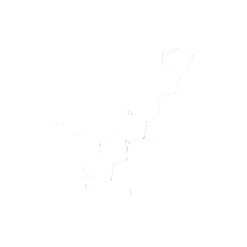 CCOC(CN(CCC(C)C)C(=O)C(N)COCc1ccccc1)OCC